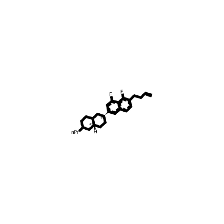 C=CCCc1ccc2cc([C@@H]3CC[C@@H]4CC(CCC)CCC4C3)cc(F)c2c1F